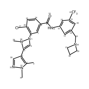 Cc1c(-c2cn(-c3cc(C(=O)Nc4cc(CN5CCC5)cc(C(F)(F)F)c4)ccc3Cl)n2C)cnn1C